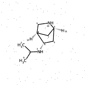 CC(C)N[C@H]1C[C@H]2C[C@@H]1CN2